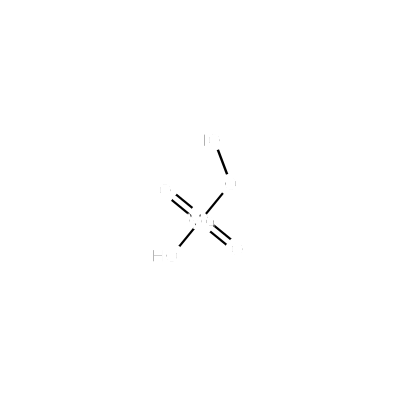 [O]=[Mo](=[O])([OH])[O]O